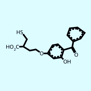 O=C(c1ccccc1)c1ccc(OCCC(CS)C(=O)O)cc1O